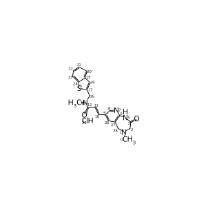 CN1CC(=O)Nc2ncc(C=CC(=O)N(C)Cc3cc4ccccc4s3)cc2C1.Cl